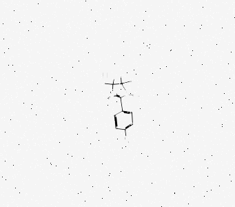 [C-]#[N+]c1ccc(C2=[N+]([O-])C(C)(C)C(C)(C)N2O)cc1